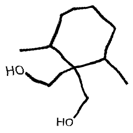 CC1CCCC(C)C1(CO)CO